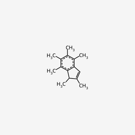 CC1=Cc2c(C)c(C)c(C)c(C)c2C1C